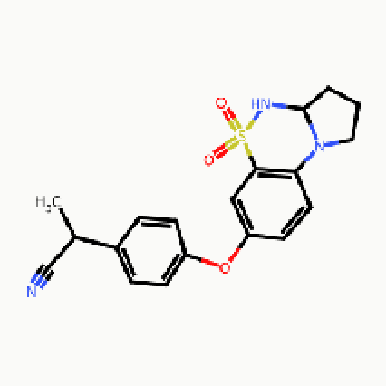 CC(C#N)c1ccc(Oc2ccc3c(c2)S(=O)(=O)NC2CCCN32)cc1